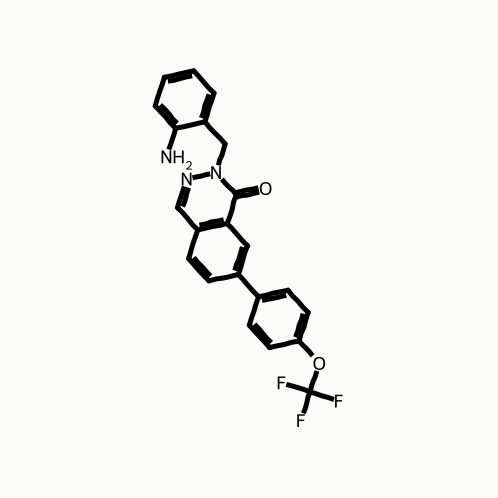 Nc1ccccc1Cn1ncc2ccc(-c3ccc(OC(F)(F)F)cc3)cc2c1=O